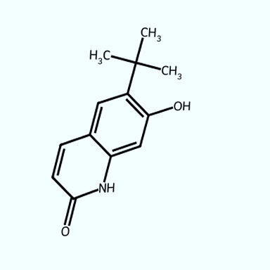 CC(C)(C)c1cc2ccc(=O)[nH]c2cc1O